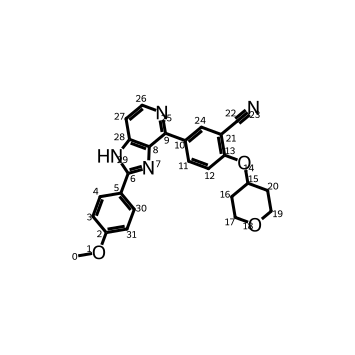 COc1ccc(-c2nc3c(-c4ccc(OC5CCOCC5)c(C#N)c4)nccc3[nH]2)cc1